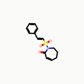 O=C1C=CCCCN1S(=O)(=O)/C=C/c1ccccc1